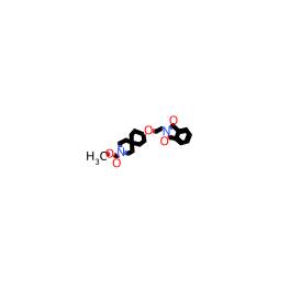 COC(=O)N1CCC2(CCC(OCCN3C(=O)c4ccccc4C3=O)CC2)CC1